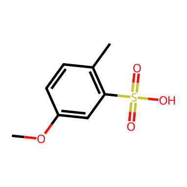 COc1ccc(C)c(S(=O)(=O)O)c1